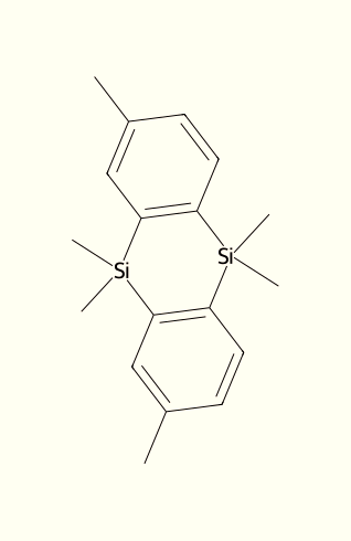 Cc1ccc2c(c1)[Si](C)(C)c1cc(C)ccc1[Si]2(C)C